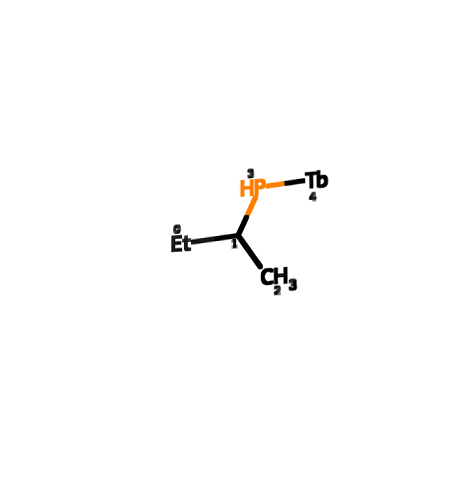 CCC(C)[PH][Tb]